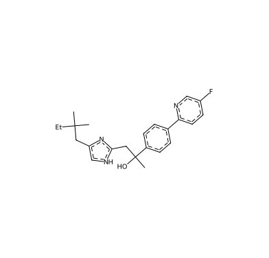 CCC(C)(C)Cc1c[nH]c(CC(C)(O)c2ccc(-c3ccc(F)cn3)cc2)n1